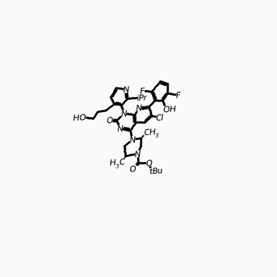 CC(C)c1nccc(CCCO)c1-n1c(=O)nc(N2C[C@@H](C)N(C(=O)OC(C)(C)C)C[C@@H]2C)c2cc(Cl)c(-c3c(F)ccc(F)c3O)nc21